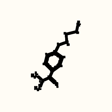 CN(C)C(=O)c1ccc(COCCBr)cc1